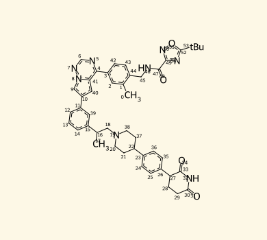 Cc1cc(-c2ncnn3cc(-c4cccc(C(C)CN5CCC(c6ccc(C7CCC(=O)NC7=O)cc6)CC5)c4)cc23)ccc1CNC(=O)c1noc(C(C)(C)C)n1